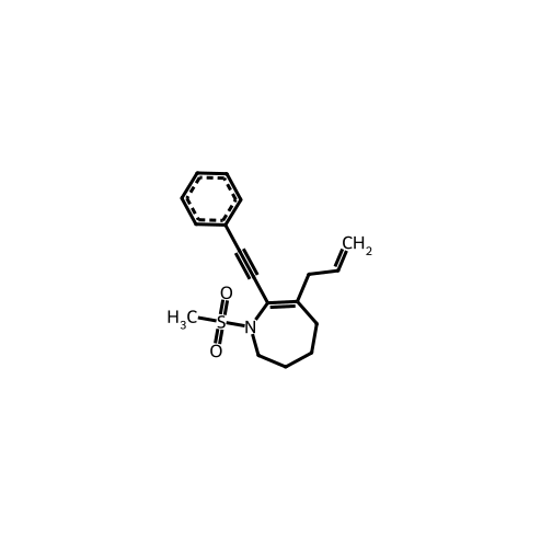 C=CCC1=C(C#Cc2ccccc2)N(S(C)(=O)=O)CCCC1